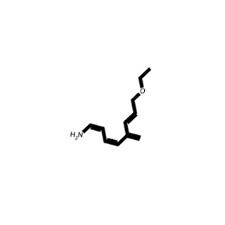 C=C(/C=C\C=C/N)/C=C/COCC